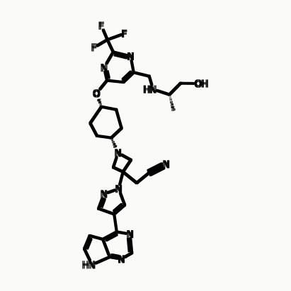 C[C@@H](CO)NCc1cc(O[C@H]2CC[C@@H](N3CC(CC#N)(n4cc(-c5ncnc6[nH]ccc56)cn4)C3)CC2)nc(C(F)(F)F)n1